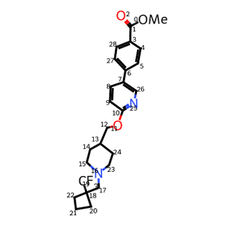 COC(=O)c1ccc(-c2ccc(OCC3CCN(CC4(C(F)(F)F)CCC4)CC3)nc2)cc1